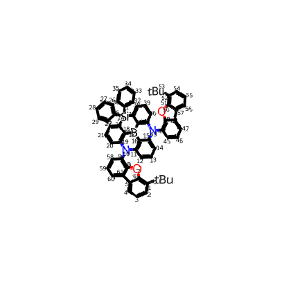 CC(C)(C)c1cccc2c1oc1c(N3c4cccc5c4B4c6c3cccc6[Si](c3ccccc3)(c3ccccc3)c3cccc(c34)N5c3cccc4c3oc3c(C(C)(C)C)cccc34)cccc12